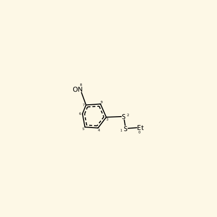 CCSSc1cccc(N=O)c1